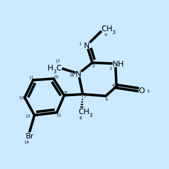 C/N=C1\NC(=O)C[C@@](C)(c2cccc(Br)c2)N1C